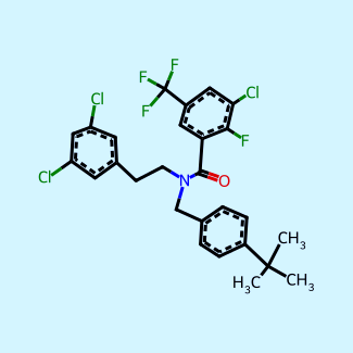 CC(C)(C)c1ccc(CN(CCc2cc(Cl)cc(Cl)c2)C(=O)c2cc(C(F)(F)F)cc(Cl)c2F)cc1